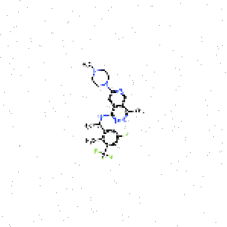 Cc1c([C@@H](C)Nc2nnc(C)c3cnc(N4CCN(C)CC4)cc23)cc(F)cc1C(F)(F)F